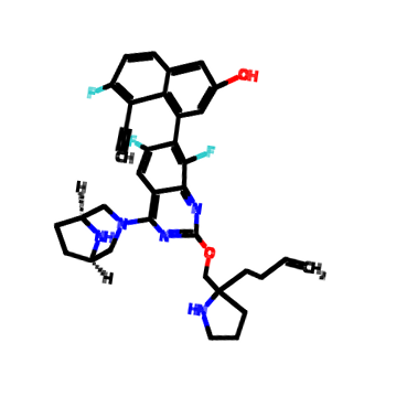 C#Cc1c(F)ccc2cc(O)cc(-c3c(F)cc4c(N5C[C@H]6CC[C@@H](C5)N6)nc(OCC5(CCC=C)CCCN5)nc4c3F)c12